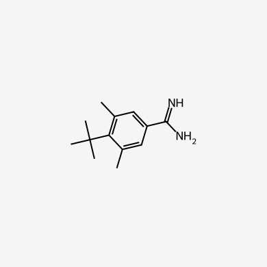 Cc1cc(C(=N)N)cc(C)c1C(C)(C)C